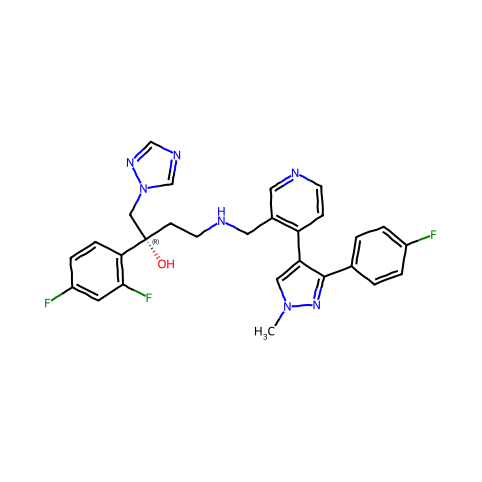 Cn1cc(-c2ccncc2CNCC[C@](O)(Cn2cncn2)c2ccc(F)cc2F)c(-c2ccc(F)cc2)n1